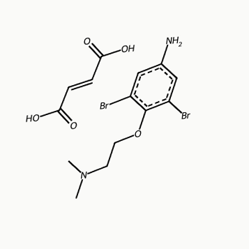 CN(C)CCOc1c(Br)cc(N)cc1Br.O=C(O)/C=C/C(=O)O